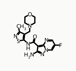 Cc1nsc(NC(=O)c2c(N)nn3cc(F)cnc23)c1CN1CCOCC1